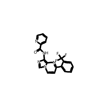 O=C(Nc1ncn2ccc(-c3ccccc3C(F)(F)F)nc12)c1ccccn1